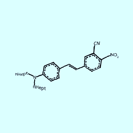 CCCCCCCN(CCCCCCC)c1ccc(C=Cc2ccc([N+](=O)[O-])c(C#N)c2)cc1